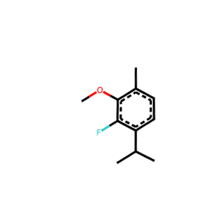 COc1c(C)ccc(C(C)C)c1F